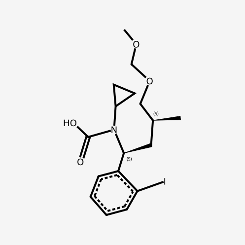 COCOC[C@@H](C)C[C@@H](c1ccccc1I)N(C(=O)O)C1CC1